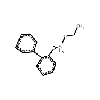 CCO[SiH2]Oc1ccccc1-c1ccccc1